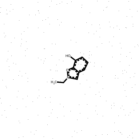 CC[n+]1cc2cccc(O)c2o1